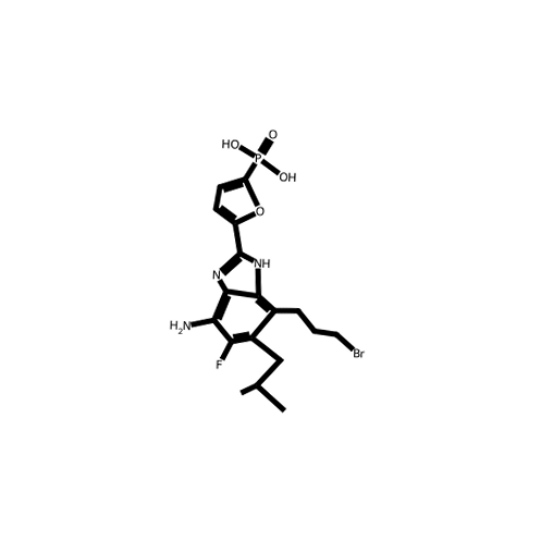 CC(C)Cc1c(F)c(N)c2nc(-c3ccc(P(=O)(O)O)o3)[nH]c2c1CCCBr